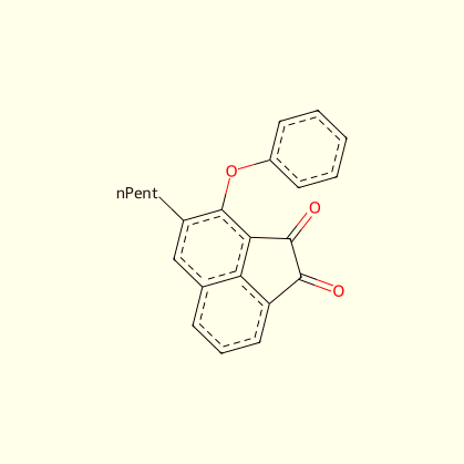 CCCCCc1cc2cccc3c2c(c1Oc1ccccc1)C(=O)C3=O